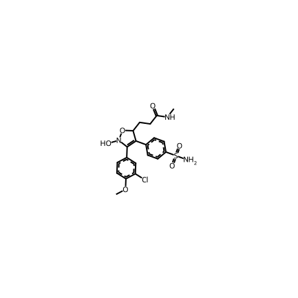 CNC(=O)CCC1ON(O)C(c2ccc(OC)c(Cl)c2)=C1c1ccc(S(N)(=O)=O)cc1